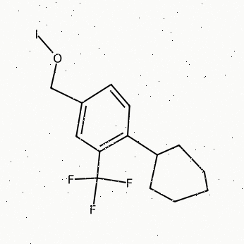 FC(F)(F)c1cc(COI)ccc1C1CCCCC1